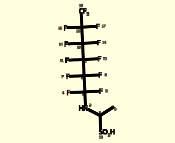 CC(NC(F)(F)C(F)(F)C(F)(F)C(F)(F)C(F)(F)C(F)(F)F)S(=O)(=O)O